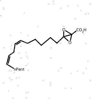 CCCCC/C=C\C/C=C\CCCCCC12OC1(C(=O)O)O2